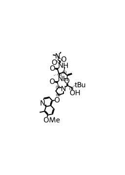 C=C[C@H](C)[C@@](C)(NC(=O)[C@@H]1C[C@@H](Oc2ccnc3c(C)c(OC)ccc23)CN1C(=O)[C@@H](O)C(C)(C)C)C(=O)NS(=O)(=O)N(C)C